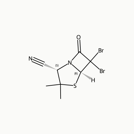 CC1(C)S[C@H]2N(C(=O)C2(Br)Br)[C@H]1C#N